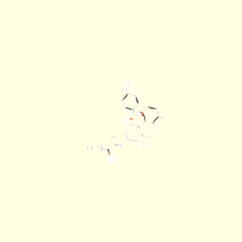 NC(=O)NC[C@@H]1CC[C@@]2(S(=O)(=O)c3ccc(C(F)(F)F)cc3)c3c(F)ccc(F)c3OC[C@H]2C1